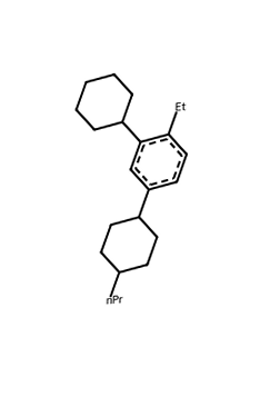 CCCC1CCC(c2ccc(CC)c(C3CCCCC3)c2)CC1